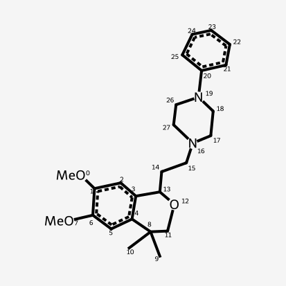 COc1cc2c(cc1OC)C(C)(C)COC2CCN1CCN(c2ccccc2)CC1